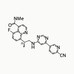 CNC(=O)c1ccnc2c([C@H](C)CNc3cc(-c4ccc(C#N)nc4)ncn3)ccc(F)c12